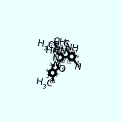 CCc1ccc2c(c1)C(=O)N(c1cc(-c3cc(C#N)ccc3C(=N)NC)cc(NCC(C)C)n1)C2